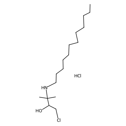 CCCCCCCCCCCCNC(C)(C)C(O)CCl.Cl